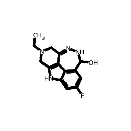 CCN1CC2=NNC(O)c3cc(F)cc4[nH]c(c2c34)C1